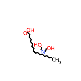 CCCCCC(CC/C=C\CCCCCCCC(=O)O)N(CCO)CCO